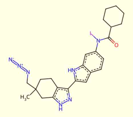 CC1(CN=[N+]=[N-])CCc2c(-c3cc4ccc(N(I)C(=O)C5CCCCC5)cc4[nH]3)n[nH]c2C1